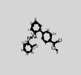 COC(=O)c1ccc(-c2ccccc2/N=N/c2ccccc2C)cc1